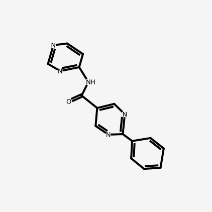 O=C(Nc1ccncn1)c1cnc(-c2ccccc2)nc1